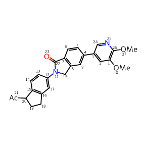 COc1cc(-c2ccc3c(c2)CN(c2ccc4c(c2)CCC4C(C)=O)C3=O)cnc1OC